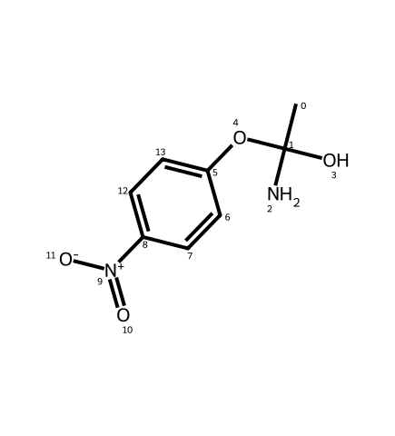 CC(N)(O)Oc1ccc([N+](=O)[O-])cc1